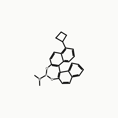 CN(C)p1oc2ccc3ccccc3c2c2c(ccc3c(C4CCC4)cccc32)o1